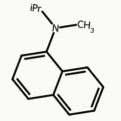 CC(C)N(C)c1cccc2ccccc12